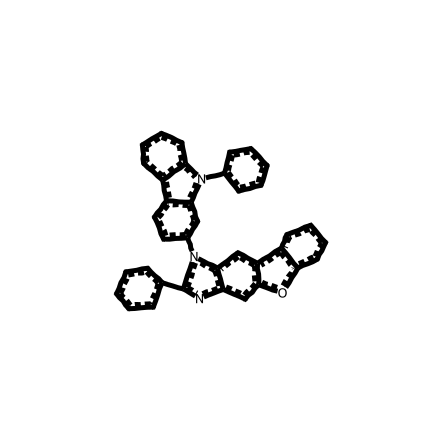 c1ccc(-c2nc3cc4oc5ccccc5c4cc3n2-c2ccc3c4ccccc4n(-c4ccccc4)c3c2)cc1